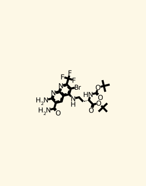 CC(C)(C)OC(=O)N[C@@H](CCNc1c(Br)c(C(F)(F)F)nc2nc(N)c(C(N)=O)cc12)C(=O)OC(C)(C)C